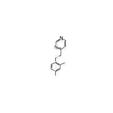 Cc1ccc(CCc2ccncn2)c(C)c1